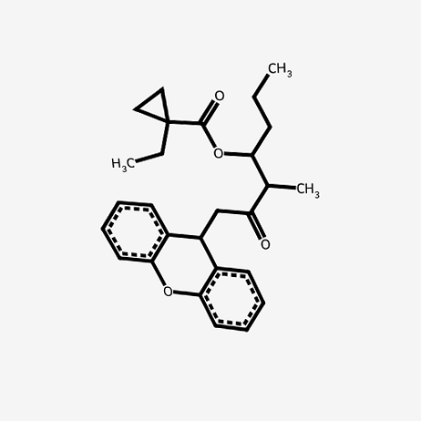 CCCC(OC(=O)C1(CC)CC1)C(C)C(=O)CC1c2ccccc2Oc2ccccc21